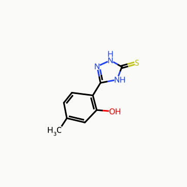 Cc1ccc(-c2n[nH]c(=S)[nH]2)c(O)c1